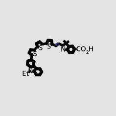 CCn1c2ccccc2c2cc(-c3ccc(-c4ccc(-c5ccc(/C=C/C6=Nc7ccc(C(=O)O)cc7C6(C)C)s5)s4)s3)ccc21